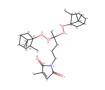 CC1=CC(=O)N(CCCC(C)(OOC23CC(CCC2C)C3(C)C)OOC23CC(CCC2C)C3(C)C)C1=O